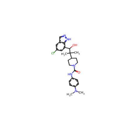 CN(C)c1ccc(NC(=O)N2CCC(C(C)(C)C(O)c3cc(Cl)cc4cn[nH]c34)CC2)cc1